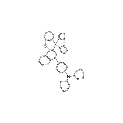 c1ccc(N(c2ccccc2)c2ccc(-c3cc4c(c5ccccc35)Sc3ccccc3C43c4ccccc4-c4ccccc43)cc2)cc1